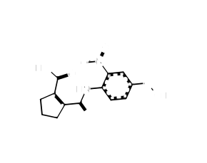 COc1ccc(NC(=O)C2=C(C(=O)O)CCC2)c([N+](=O)[O-])c1